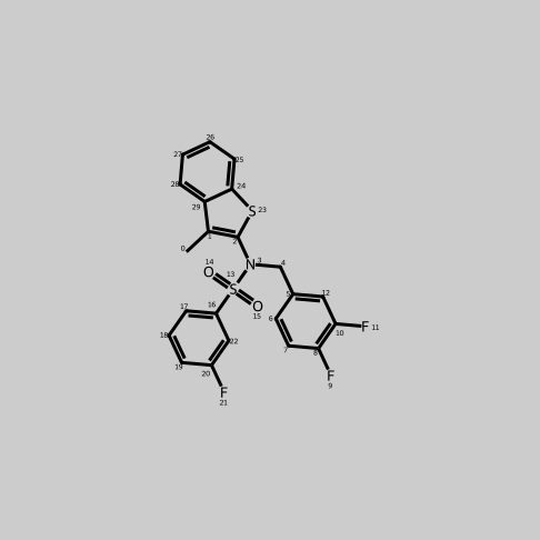 Cc1c(N(Cc2ccc(F)c(F)c2)S(=O)(=O)c2cccc(F)c2)sc2ccccc12